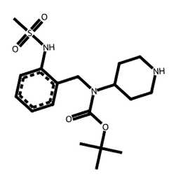 CC(C)(C)OC(=O)N(Cc1ccccc1NS(C)(=O)=O)C1CCNCC1